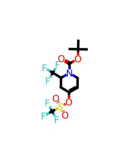 CC(C)(C)OC(=O)N1CC=C(OS(=O)(=O)C(F)(F)F)CC1C(F)(F)F